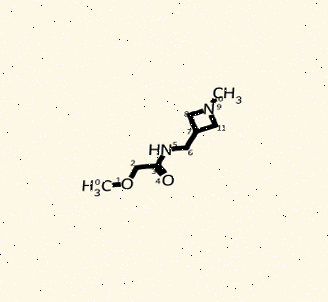 COCC(=O)NCC1CN(C)C1